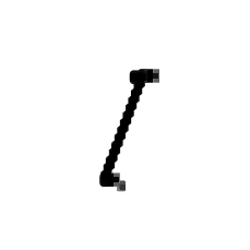 CCCCC=CCCC=CCCCCCCCCCCCCCCCCCC(=O)O